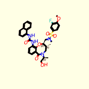 COc1ccc(S(=O)(=O)N(C)C[C@@H]2Oc3c(NC(=O)Nc4cccc5ccccc45)cccc3C(=O)N([C@@H](C)CO)C[C@H]2C)cc1F